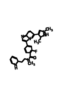 CC1NN(C)C=C1c1ccc2ncc(-c3ccc(C(=O)N(C)CCC4C=CC=CN4)c(F)c3)n2c1